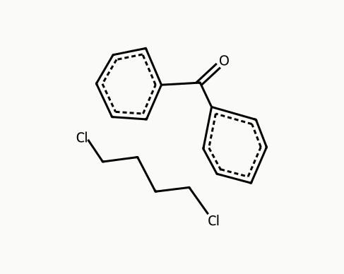 ClCCCCCl.O=C(c1ccccc1)c1ccccc1